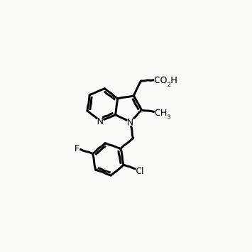 Cc1c(CC(=O)O)c2cccnc2n1Cc1cc(F)ccc1Cl